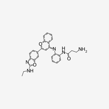 CCNc1nc2ccc(-c3cc(=Nc4ccccc4NC(=O)CCN)c4ccccc4o3)cc2o1